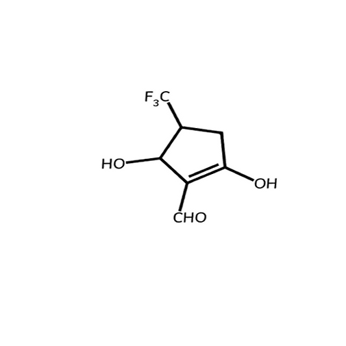 O=CC1=C(O)CC(C(F)(F)F)C1O